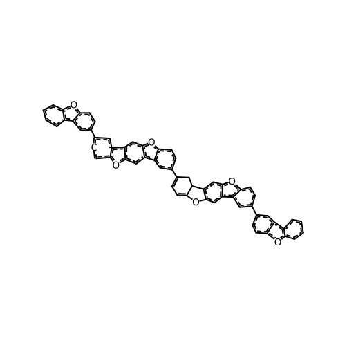 C1=C(c2ccc3oc4cc5c(cc4c3c2)oc2ccc(-c3ccc4oc6ccccc6c4c3)cc25)CC2C(=C1)Oc1cc3c(cc12)oc1ccc(-c2ccc4oc5ccccc5c4c2)cc13